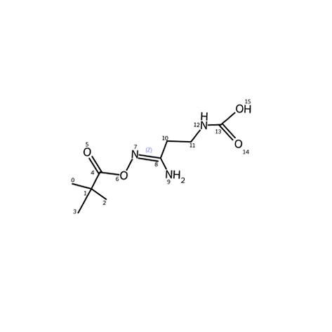 CC(C)(C)C(=O)O/N=C(\N)CCNC(=O)O